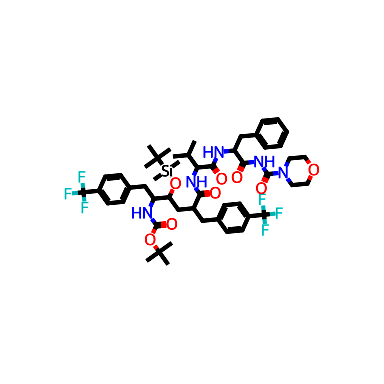 CC(C)C(NC(=O)C(Cc1ccc(C(F)(F)F)cc1)CC(O[Si](C)(C)C(C)(C)C)C(Cc1ccc(C(F)(F)F)cc1)NC(=O)OC(C)(C)C)C(=O)NC(Cc1ccccc1)C(=O)NC(=O)N1CCOCC1